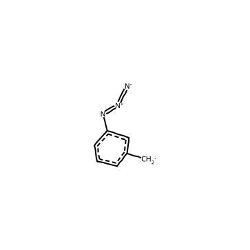 [CH2]c1cccc(N=[N+]=[N-])c1